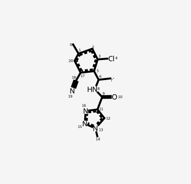 [CH2]c1cc(Cl)c(C([CH2])NC(=O)c2cn(C)nn2)c(C#N)c1